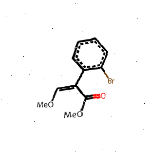 COC=C(C(=O)OC)c1ccccc1Br